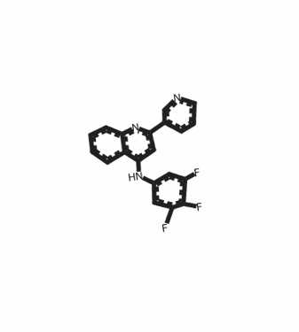 Fc1cc(Nc2cc(-c3cccnc3)nc3ccccc23)cc(F)c1F